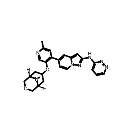 Cc1cc(-c2ccn3nc(Nc4cccnn4)cc3c2)c(OC2C[C@H]3COC[C@@H](C2)N3C)cn1